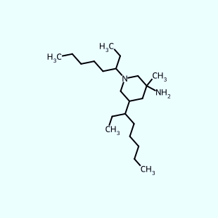 CCCCCC(CC)C1CN(C(CC)CCCCC)CC(C)(N)C1